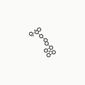 c1ccc(-c2cc(-c3ccc(-c4ccc5cc(-c6cccc7c6-c6ccccc6C76c7ccccc7-c7ccccc76)ccc5c4)cc3)c3ccccc3n2)nc1